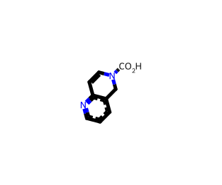 O=C(O)N1C=Cc2ncccc2C1